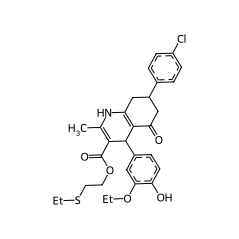 CCOc1cc(C2C(C(=O)OCCSCC)=C(C)NC3=C2C(=O)CC(c2ccc(Cl)cc2)C3)ccc1O